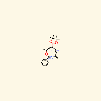 C=C1/C=C\C(B2OC(C)(C)C(C)(C)O2)=C/C(C)O/C(c2ccccc2)=N\1